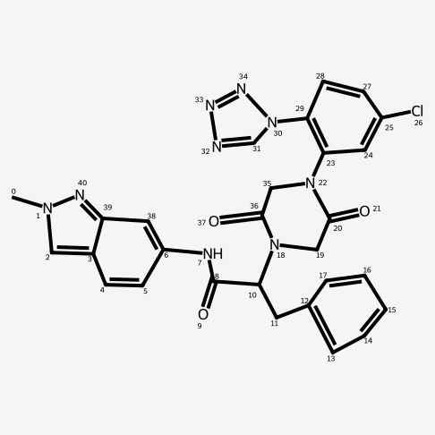 Cn1cc2ccc(NC(=O)C(Cc3ccccc3)N3CC(=O)N(c4cc(Cl)ccc4-n4cnnn4)CC3=O)cc2n1